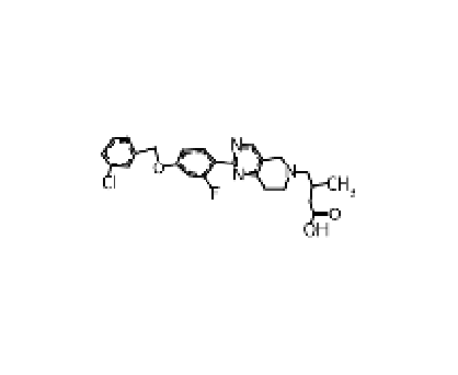 CC(CC(=O)O)CN1CCc2nc(-c3ccc(OCc4cccc(Cl)c4)cc3F)ncc2C1